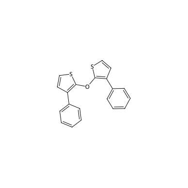 c1ccc(-c2ccsc2Oc2sccc2-c2ccccc2)cc1